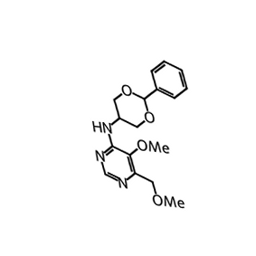 COCc1ncnc(NC2COC(c3ccccc3)OC2)c1OC